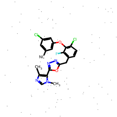 Cc1ncn(C)c1-c1nnc(Cc2ccc(Cl)c(Oc3cc(Cl)cc(C#N)c3)c2F)o1